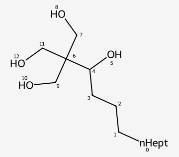 CCCCCCCCCCC(O)C(CO)(CO)CO